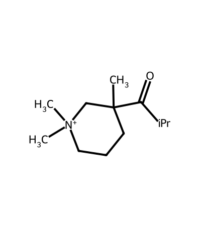 CC(C)C(=O)C1(C)CCC[N+](C)(C)C1